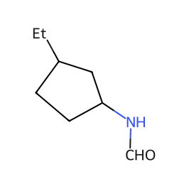 CCC1CCC(NC=O)C1